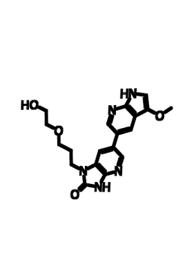 COc1c[nH]c2ncc(-c3cnc4[nH]c(=O)n(CCCOCCO)c4c3)cc12